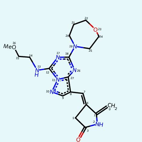 C=C1NC(=O)C/C1=C\c1cnn2c(NCCOC)nc(N3CCCOCC3)nc12